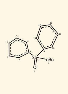 CCC[CH2][Sb](=[O])([c]1ccccc1)[c]1ccccc1